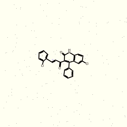 O=C(/C=C/c1ccccc1Cl)c1c(-c2ccccc2)c2cc(Cl)ccc2[nH]c1=O